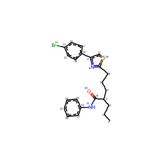 CCCC(CCCc1nc(-c2ccc(Br)cc2)cs1)C(=O)Nc1ccccc1